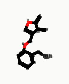 C=c1occ(COc2ccccc2CC(=O)OCC)c1=C